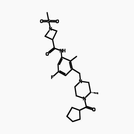 Cc1c(CN2CCN(C(=O)C3CCCC3)[C@@H](C)C2)cc(F)cc1NC(=O)C1CN(S(C)(=O)=O)C1